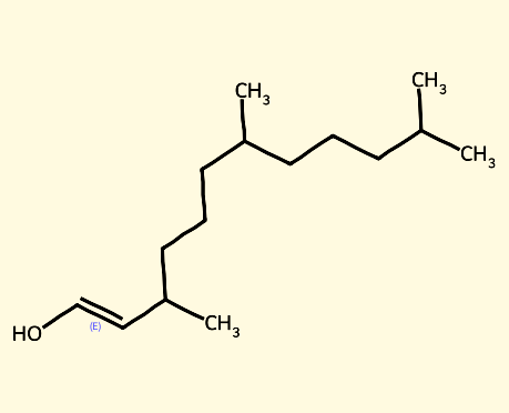 CC(C)CCCC(C)CCCC(C)/C=C/O